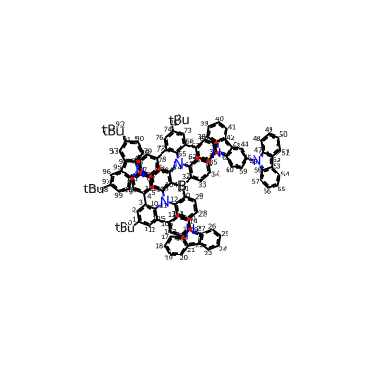 CC(C)(C)c1cc(-c2ccccc2)c(N2c3cc(-n4c5ccccc5c5ccccc54)ccc3B3c4ccc(-n5c6ccccc6c6cc(-n7c8ccccc8c8ccccc87)ccc65)cc4N(c4c(-c5ccccc5)cc(C(C)(C)C)cc4-c4ccccc4)c4cc(-n5c6ccc(C(C)(C)C)cc6c6cc(C(C)(C)C)ccc65)cc2c43)c(-c2ccccc2)c1